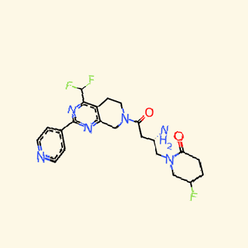 N[C@@H](CC(=O)N1CCc2c(nc(-c3ccncc3)nc2C(F)F)C1)CN1CC(F)CCC1=O